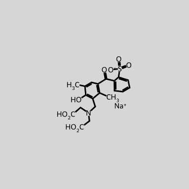 Cc1cc(C(=O)c2ccccc2S(=O)(=O)[O-])c(C)c(CN(CC(=O)O)CC(=O)O)c1O.[Na+]